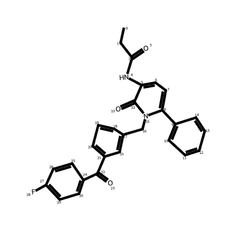 CCC(=O)Nc1ccc(-c2ccccc2)n(Cc2cccc(C(=O)c3ccc(F)cc3)c2)c1=O